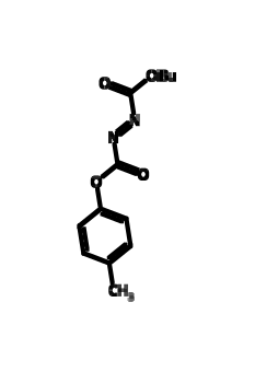 Cc1ccc(OC(=O)N=NC(=O)OCC(C)C)cc1